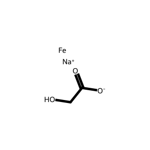 O=C([O-])CO.[Fe].[Na+]